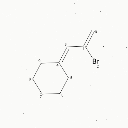 C=C(Br)C=C1CCCCC1